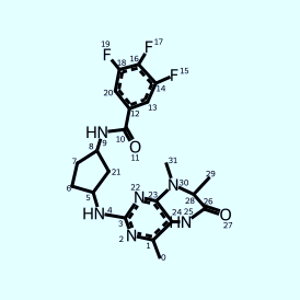 Cc1nc(NC2CCC(NC(=O)c3cc(F)c(F)c(F)c3)C2)nc2c1NC(=O)C(C)N2C